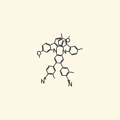 COc1ccc2c3ccc(OC)cc3n(-c3cc(-c4ccc(C#N)c(C)c4)c(-c4ccc(C#N)c(C)c4)cc3-n3c4ccc(C)cc4c4cc(C)ccc43)c2c1